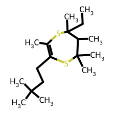 CCC1(C)SC(C)=C(CCC(C)(C)C)SC(C)(C)C1C